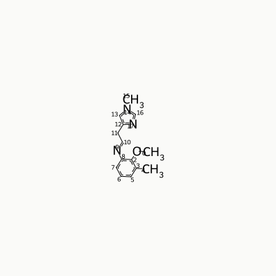 COc1c(C)cccc1N=CCc1cn(C)cn1